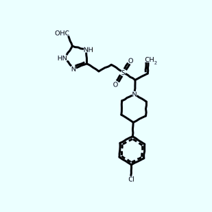 C=CC(N1CCC(c2ccc(Cl)cc2)CC1)S(=O)(=O)CCC1=NNC(C=O)N1